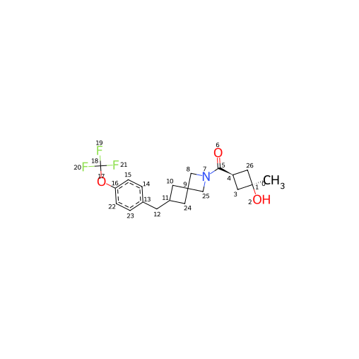 C[C@]1(O)C[C@@H](C(=O)N2CC3(CC(Cc4ccc(OC(F)(F)F)cc4)C3)C2)C1